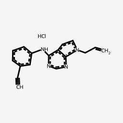 C#Cc1cccc(Nc2ncnc3c2ccn3CC=C)c1.Cl